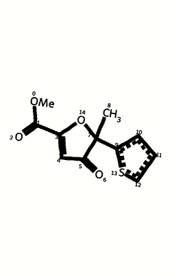 COC(=O)C1=CC(=O)C(C)(c2cccs2)O1